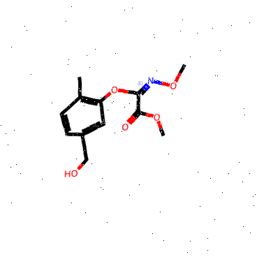 CO/N=C(/Oc1cc(CO)ccc1C)C(=O)OC